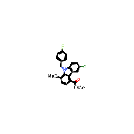 COC(=O)c1ccc(OC)c2c1c1cc(Cl)ccc1n2Cc1ccc(F)cc1